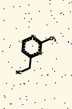 N#CCc1c[c]nc(C(F)(F)F)n1